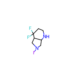 FC1(F)CCNC2CN(I)CC21